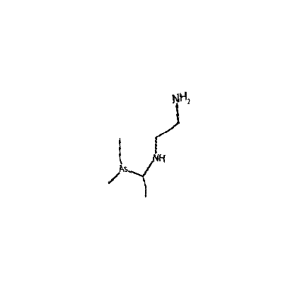 CC(NCCN)[As](C)C